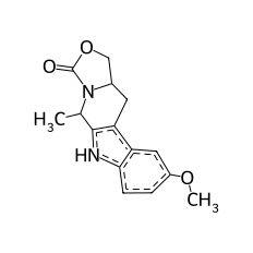 COc1ccc2[nH]c3c(c2c1)CC1COC(=O)N1C3C